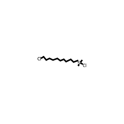 C[Si](C)(Cl)CCCCCCCCCCCCl